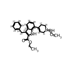 CCOC(=O)c1[nH]c2c(C3=CCN(BOC)CC3)cccc2c1Cc1ccccc1